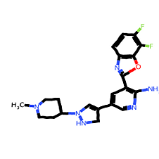 CN1CCC(N2C=C(c3cnc(N)c(-c4nc5ccc(F)c(F)c5o4)c3)CN2)CC1